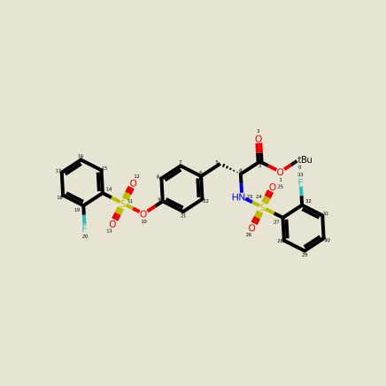 CC(C)(C)OC(=O)[C@@H](Cc1ccc(OS(=O)(=O)c2ccccc2F)cc1)NS(=O)(=O)c1ccccc1F